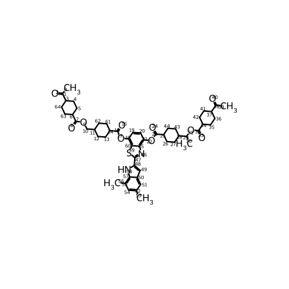 CC(=O)C1CCC(C(=O)OCC2CCC(C(=O)Oc3ccc(OC(=O)C4CCC(C(C)OC(=O)C5CCC(C(C)=O)CC5)CC4)c4nc(-c5cc6cc(C)cc(C)c6[nH]5)sc34)CC2)CC1